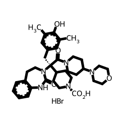 Br.Cc1cc(C[C@](C(=O)N2CCC(N3CCOCC3)CC2)(C2CCN(C(=O)O)CC2)N2CCc3ccccc3NC2=O)cc(C)c1O